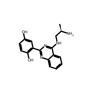 C[C@@H](N)CNc1nc(-c2cc(O)ccc2O)nc2ccccc12